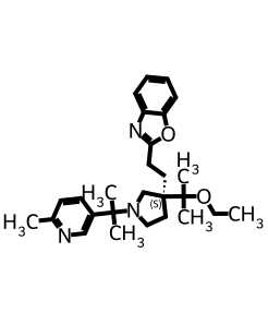 CCOC(C)(C)[C@@]1(CCc2nc3ccccc3o2)CCN(C(C)(C)c2ccc(C)nc2)C1